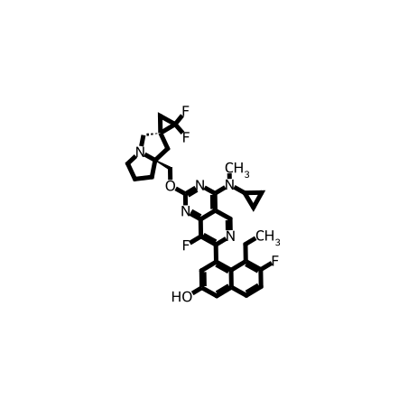 CCc1c(F)ccc2cc(O)cc(-c3ncc4c(N(C)C5CC5)nc(OC[C@@]56CCCN5C[C@@]5(CC5(F)F)C6)nc4c3F)c12